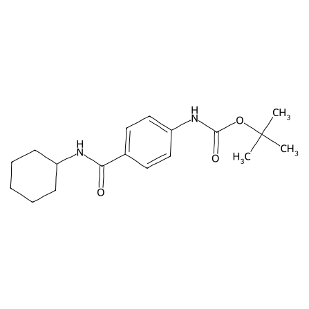 CC(C)(C)OC(=O)Nc1ccc(C(=O)NC2CCCCC2)cc1